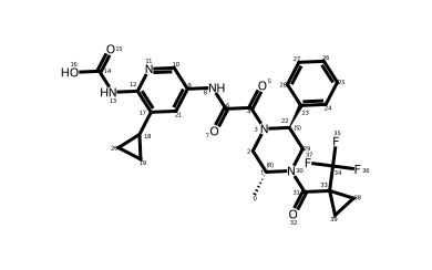 C[C@@H]1CN(C(=O)C(=O)Nc2cnc(NC(=O)O)c(C3CC3)c2)[C@@H](c2ccccc2)CN1C(=O)C1(C(F)(F)F)CC1